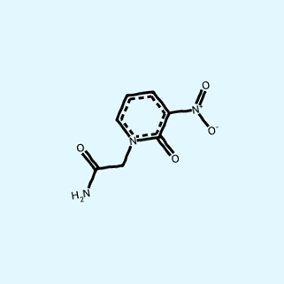 NC(=O)Cn1cccc([N+](=O)[O-])c1=O